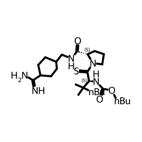 CCCCOC(=O)N[C@H](C(=S)N1CCC[C@H]1C(=O)NCC1CCC(C(=N)N)CC1)C(C)(C)CCCC